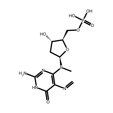 C=Nc1c(N(C)[C@H]2C[C@H](O)[C@@H](COP(=O)(O)O)O2)nc(N)[nH]c1=O